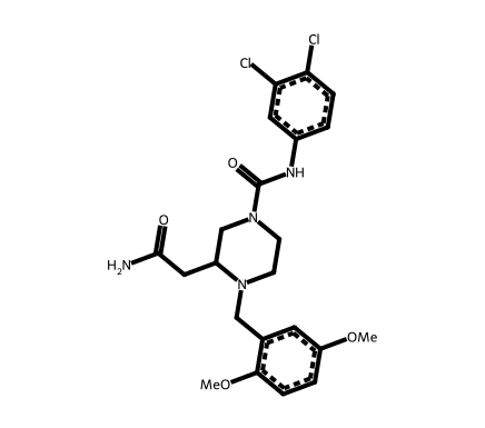 COc1ccc(OC)c(CN2CCN(C(=O)Nc3ccc(Cl)c(Cl)c3)CC2CC(N)=O)c1